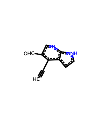 C#Cc1c(C=O)cnc2[nH]ccc12